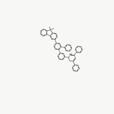 CC1(C)c2ccccc2-c2cc(-c3ccc(-c4cccc(C5CC(c6ccccc6)=CC(c6ccccc6)=N5)c4)c(-c4ccccc4)c3)ccc21